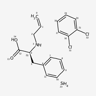 C=CCN[C@@H](Cc1ccccc1)C(=O)O.Clc1ccccc1Cl.[SiH4]